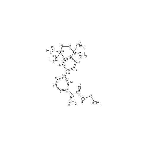 C=C(C(=O)OCC)c1cccc(-c2ccc3c(c2)C(C)(C)CCC3(C)C)c1